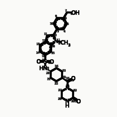 Cn1c(-c2ccc(CO)cc2)cc2ccc(S(=O)(=O)N[C@H]3CC[C@H](C(=O)N4CCNC(=O)C4)CC3)cc21